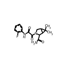 CC1(C)C2CN(C(=O)C(=O)Nc3ccccc3F)C(C(N)=O)C21